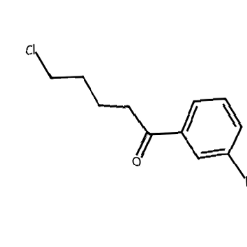 O=C(CCCCCl)c1cccc(I)c1